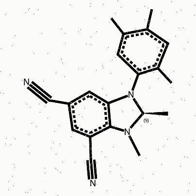 Cc1cc(C)c(N2c3cc(C#N)cc(C#N)c3N(C)[C@@H]2C)cc1C